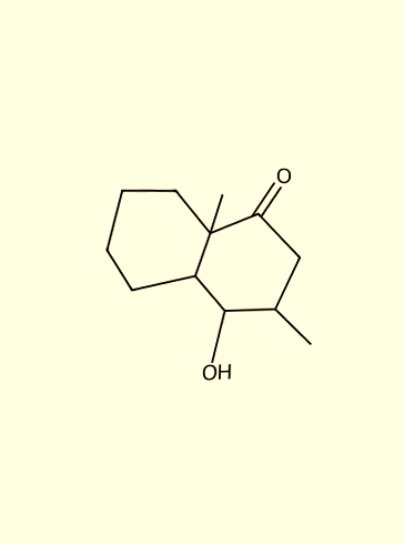 CC1CC(=O)C2(C)CCCCC2C1O